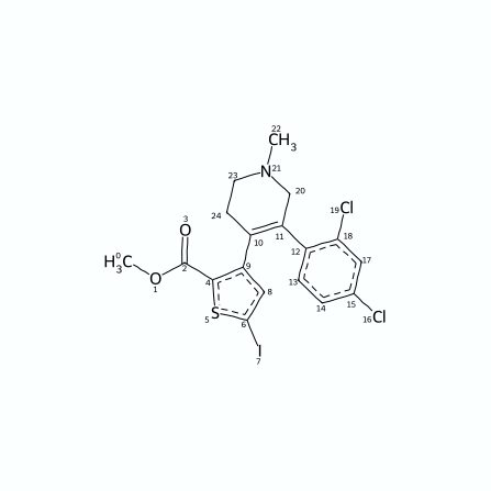 COC(=O)c1sc(I)cc1C1=C(c2ccc(Cl)cc2Cl)CN(C)CC1